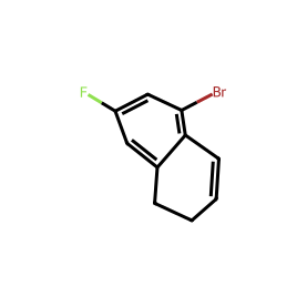 Fc1cc(Br)c2c(c1)CCC=C2